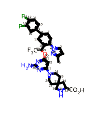 Cc1ccn(-c2ccc(-c3ccc(F)c(F)c3)cc2[C@@H](Oc2cc(N3CCC4(CC3)CNC(C(=O)O)C4)nc(N)n2)C(F)(F)F)n1